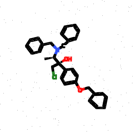 C[C@H](N(Cc1ccccc1)Cc1ccccc1)[C@](O)(CCl)c1ccc(OCc2ccccc2)cc1